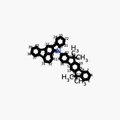 CC1(C)c2ccccc2-c2cc3c(cc21)-c1ccc(-n2c4ccccc4c4cc5c6c(cccc6c42)-c2ccccc2-5)cc1C3(C)C